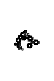 CCS(=O)(=O)N1CCC(CC(CC#N)n2cc(-c3nc(N(c4ccccc4)N4CCOCC4)ncc3C)cn2)CC1